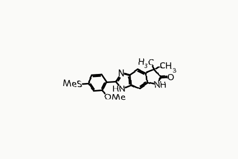 COc1cc(SC)ccc1-c1nc2cc3c(cc2[nH]1)NC(=O)C3(C)C